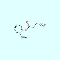 CNc1ccccc1OC(=O)CCC(=O)O